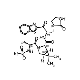 CCS(=O)(=O)N[C@H](C(=O)N1C[C@H]2[C@@H]([C@H]1C(=O)N[C@@H](C[C@@H]1CCNC1=O)C(=O)c1nc3ccccc3s1)C2(C)C)C(C)C